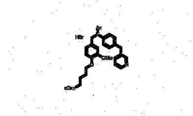 Br.CCCCCCCCCCCCCCOc1ccc(CN(C(C)=O)c2ccc(Cc3cccnc3)cc2)cc1OC